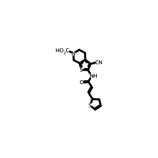 N#Cc1c(NC(=O)/C=C/C2CC=CS2)sc2c1CCN(C(=O)O)C2